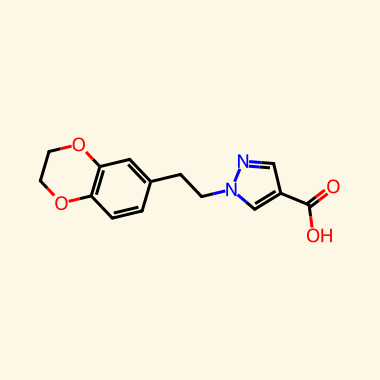 O=C(O)c1cnn(CCc2ccc3c(c2)OCCO3)c1